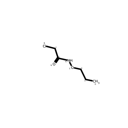 CCCONC(=O)CCl